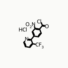 Cl.O=C(Cl)c1ccc(-c2ncccc2C(F)(F)F)cc1[N+](=O)[O-]